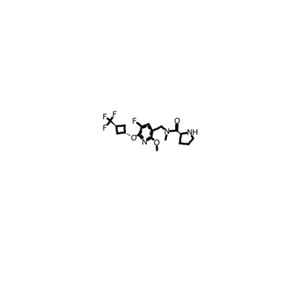 COc1nc(O[C@H]2C[C@H](C(F)(F)F)C2)c(F)cc1CN(C)C(=O)[C@@H]1CCCN1